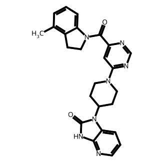 Cc1cccc2c1CCN2C(=O)c1cc(N2CCC(n3c(=O)[nH]c4ncccc43)CC2)ncn1